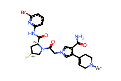 CC(=O)N1CC=C(c2cn(CC(=O)N3C[C@H](F)C[C@H]3C(=O)Nc3cccc(Br)n3)cc2C(N)=O)CC1